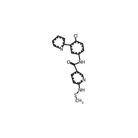 CSNc1ccc(C(=O)Nc2ccc(Cl)c(-c3ccccn3)c2)cn1